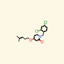 CC(C)=CCCOc1ccn(Cc2ccc(Cl)cc2Cl)c(=O)c1